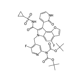 CC(C)(C)OC(=O)N(C(=O)OC(C)(C)C)c1cc(Cn2c(C(=O)NS(=O)(=O)C3CC3)c(-c3ccc[nH]c3=O)c3c4occc4c(F)cc32)c(F)cn1